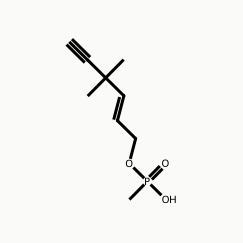 C#CC(C)(C)C=CCOP(C)(=O)O